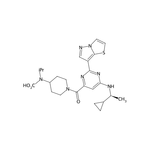 CC(C)N(C(=O)O)C1CCN(C(=O)c2cc(N[C@@H](C)C3CC3)nc(-c3cnn4ccsc34)n2)CC1